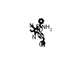 CCc1c(C#N)c(SC(C(N)=O)c2ccccc2)nc(N2CCN(Cc3cnoc3)CC2)c1C#N